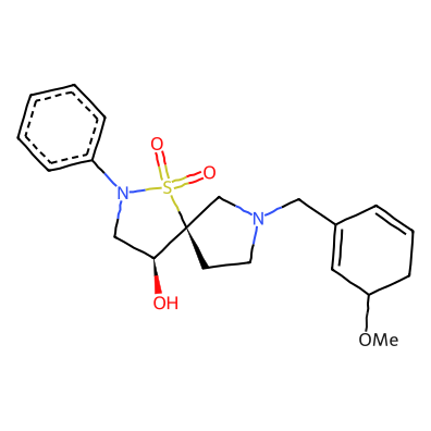 COC1C=C(CN2CC[C@@]3(C2)[C@@H](O)CN(c2ccccc2)S3(=O)=O)C=CC1